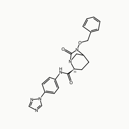 O=C(Nc1ccc(-n2cncn2)cc1)[C@@H]1CCC2CN1C(=O)N2OCc1ccccc1